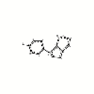 Cc1ccc(-n2ccc3cccnc32)cc1